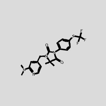 CN(C)c1cc(CN2C(=O)N(c3ccc(SC(F)(F)F)cc3)C(=O)C2(C)C)ccn1